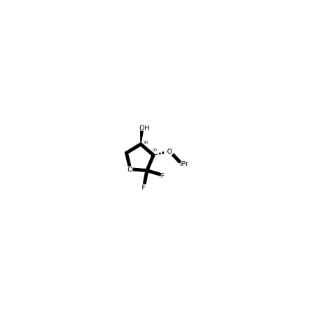 CC(C)O[C@H]1[C@H](O)COC1(F)F